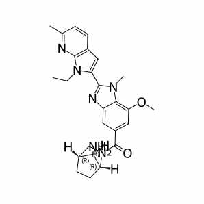 CCn1c(-c2nc3cc(C(=O)N4C[C@H]5CC[C@@H]4[C@@H]5N)cc(OC)c3n2C)cc2ccc(C)nc21